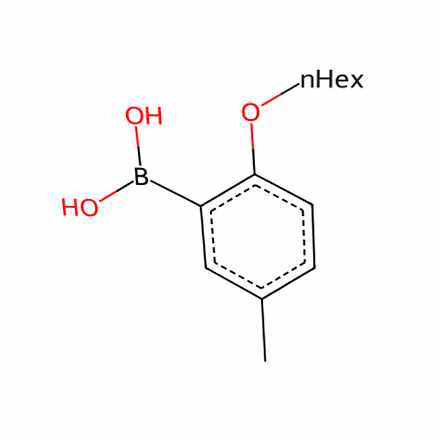 CCCCCCOc1ccc(C)cc1B(O)O